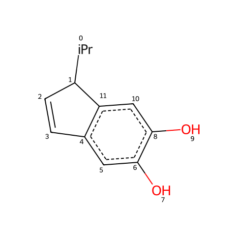 CC(C)C1C=Cc2cc(O)c(O)cc21